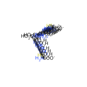 CC(C)C[C@H](N)C(=O)O.CC(C)C[C@H](N)C(=O)O.C[C@H](N)C(=O)O.C[C@H](N)C(=O)O.C[C@H](N)C(=O)O.C[C@H](N)C(=O)O.NCC(=O)O.NCC(=O)O.NCC(=O)O.NCC(=O)O.NCC(=O)O.NCC(=O)O.NCC(=O)O.NCC(=O)O.N[C@@H](CS)C(=O)[O-].N[C@@H](CS)C(=O)[O-].[Cu+2]